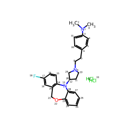 CN(C)c1ccc(CCN2CC[C@@H](N3c4ccc(F)cc4COc4ccccc43)C2)cc1.Cl.Cl